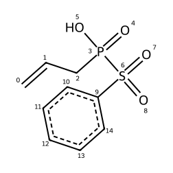 C=CCP(=O)(O)S(=O)(=O)c1ccccc1